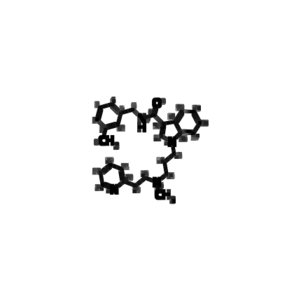 Cc1cccc(CNC(=O)c2cn(CCCN(C)CCc3ccccn3)c3ccccc23)c1